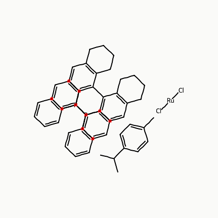 Cc1ccc(C(C)C)cc1.[Cl][Ru][Cl].c1ccc(P(c2ccccc2)c2ccc3c(c2-c2c(P(c4ccccc4)c4ccccc4)ccc4c2CCCC4)CCCC3)cc1